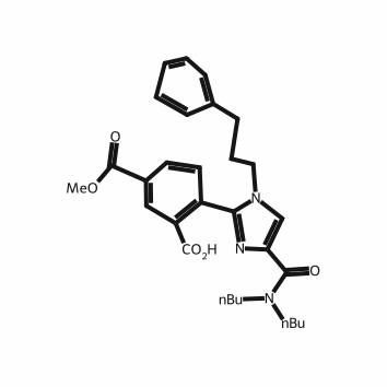 CCCCN(CCCC)C(=O)c1cn(CCCc2ccccc2)c(-c2ccc(C(=O)OC)cc2C(=O)O)n1